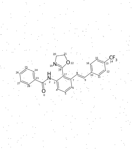 O=C(Nc1cccc(/C=C/c2ccc(C(F)(F)F)cc2)c1C1=NCCO1)c1ccccc1